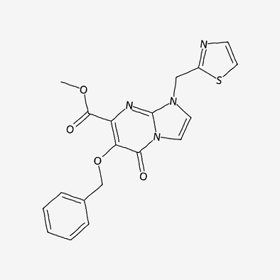 COC(=O)c1nc2n(Cc3nccs3)ccn2c(=O)c1OCc1ccccc1